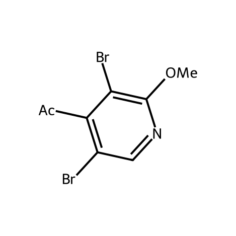 COc1ncc(Br)c(C(C)=O)c1Br